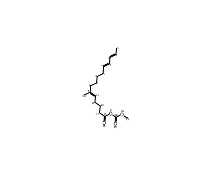 CC=CC=CCCCCC(C)=CCCCC(=O)OC(=O)OC